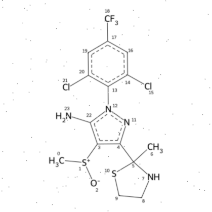 C[S+]([O-])c1c(C2(C)NCCS2)nn(-c2c(Cl)cc(C(F)(F)F)cc2Cl)c1N